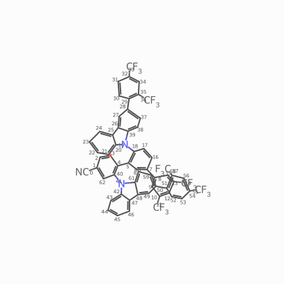 N#Cc1ccc(-c2cc(-c3cc(C(F)(F)F)cc(C(F)(F)F)c3)ccc2-n2c3ccccc3c3cc(-c4ccc(C(F)(F)F)cc4C(F)(F)F)ccc32)c(-n2c3ccccc3c3cc(-c4ccc(C(F)(F)F)cc4C(F)(F)F)ccc32)c1